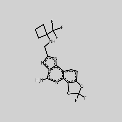 Nc1nc2c3c(ccc2c2nc(CNC4(C(F)(F)F)CCC4)nn12)OC(F)(F)O3